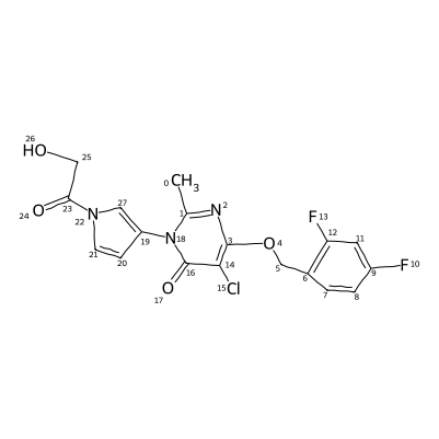 Cc1nc(OCc2ccc(F)cc2F)c(Cl)c(=O)n1-c1ccn(C(=O)CO)c1